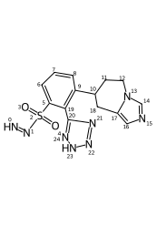 N=NS(=O)(=O)c1cccc(C2CCn3cncc3C2)c1-c1nn[nH]n1